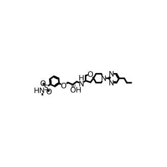 CCCc1cnc(N2CCC3(CC2)CC(NC[C@H](O)COc2cccc(S(=O)(=O)NC)c2)CO3)nc1